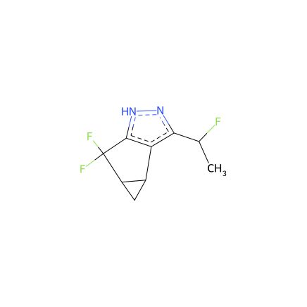 CC(F)c1n[nH]c2c1C1CC1C2(F)F